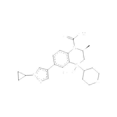 COC(=O)N1c2ccc(-c3cnn(C4CC4)c3)cc2[N+](C(=O)O)(C2CCOCC2)C[C@@H]1C